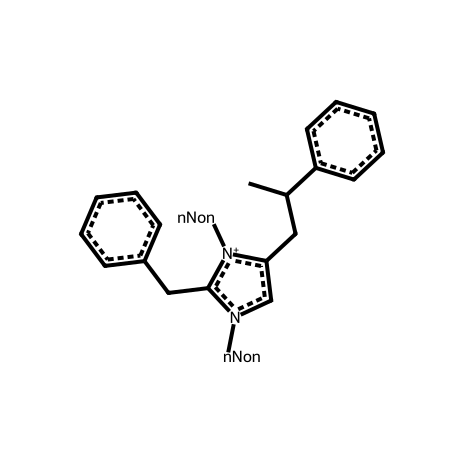 CCCCCCCCCn1cc(CC(C)c2ccccc2)[n+](CCCCCCCCC)c1Cc1ccccc1